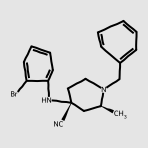 C[C@H]1C[C@](C#N)(Nc2ccccc2Br)CCN1Cc1ccccc1